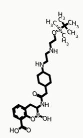 CC(C)(C)[Si](C)(C)OCCNCCNC1CCC(CC(=O)NC2Cc3cccc(C(=O)O)c3OB2O)CC1